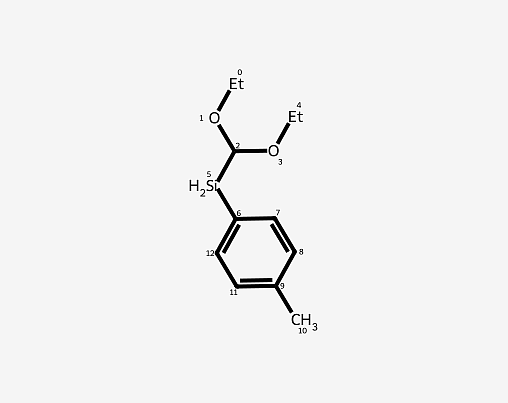 CCOC(OCC)[SiH2]c1ccc(C)cc1